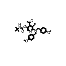 COc1ccc(CN(Cc2ccc(OC)cc2)c2ncc(OC(=O)NC(C)(C)C)c(C(C)=O)c2F)cc1